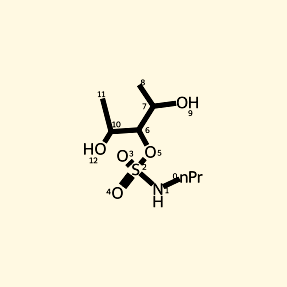 CCCNS(=O)(=O)OC(C(C)O)C(C)O